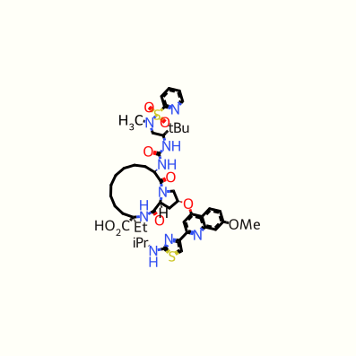 CC[C@]1(C(=O)O)CCCCCCCC[C@H](NC(=O)NC(CN(C)S(=O)(=O)c2ccccn2)C(C)(C)C)C(=O)N2C[C@H](Oc3cc(-c4csc(NC(C)C)n4)nc4cc(OC)ccc34)C[C@H]2C(=O)N1